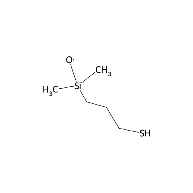 C[Si](C)([O])CCCS